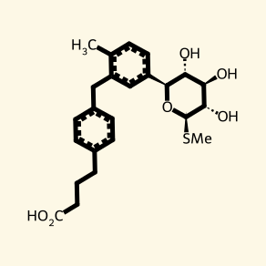 CS[C@H]1O[C@@H](c2ccc(C)c(Cc3ccc(CCCC(=O)O)cc3)c2)[C@H](O)[C@@H](O)[C@@H]1O